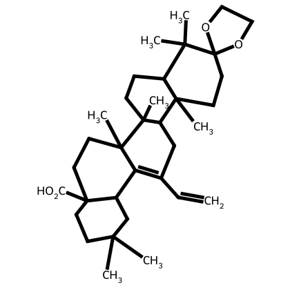 C=CC1=C2C3CC(C)(C)CCC3(C(=O)O)CCC2(C)C2(C)CCC3C(C)(CCC4(OCCO4)C3(C)C)C2C1